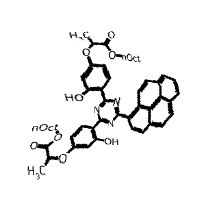 CCCCCCCCOC(=O)C(C)Oc1ccc(-c2nc(-c3ccc(OC(C)C(=O)OCCCCCCCC)cc3O)nc(-c3ccc4ccc5cccc6ccc3c4c56)n2)c(O)c1